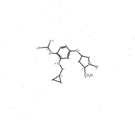 CC(=O)N1CC(Oc2ccc(OC(F)F)c(OCC3CC3)c2)CC1C(=O)O